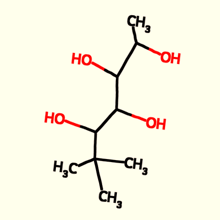 CC(O)C(O)C(O)C(O)C(C)(C)C